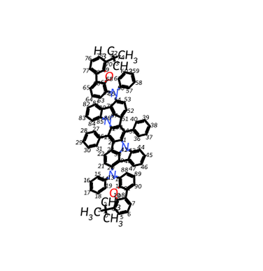 CC(C)(C)c1cccc2c1oc1c(N(c3ccccc3)c3ccc4c5c(-c6ccccc6)c6c(c(-c7ccccc7)c5n5c7ccccc7c3c45)c3ccc(N(c4ccccc4)c4cccc5c4oc4c(C(C)(C)C)cccc45)c4c5ccccc5n6c34)cccc12